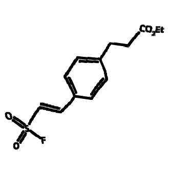 CCOC(=O)CCc1ccc(C=CS(=O)(=O)F)cc1